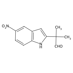 CC(C)(C=O)c1cc2cc([N+](=O)[O-])ccc2[nH]1